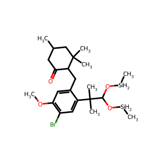 COc1cc(CC2C(=O)CC(C)CC2(C)C)c(C(C)(C)C(O[SiH2]C)O[SiH2]C)cc1Br